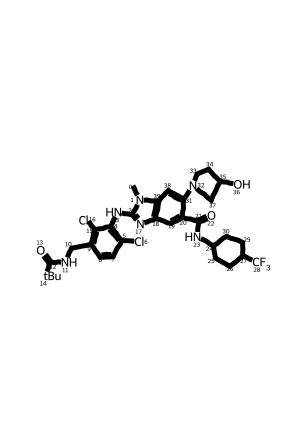 Cn1c(Nc2c(Cl)ccc(CNC(=O)C(C)(C)C)c2Cl)nc2cc(C(=O)NC3CCC(C(F)(F)F)CC3)c(N3CCC(O)C3)cc21